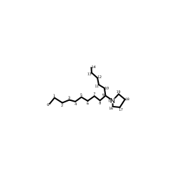 CCCCCCCCCC(CCCCC)N1CCCC1